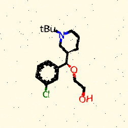 CC(C)(C)N1CCC[C@@H]([C@@H](OCCO)c2cccc(Cl)c2)C1